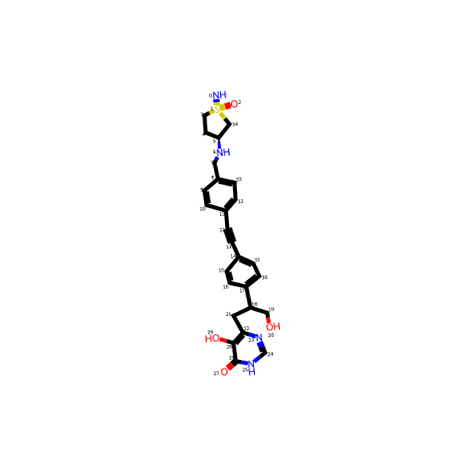 N=S1(=O)CC[C@H](NCc2ccc(C#Cc3ccc(C(CO)Cc4nc[nH]c(=O)c4O)cc3)cc2)C1